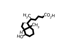 C[C@H](CCCC(=O)O)[C@H]1CC[C@H]2[C@H](O)CCCC12C